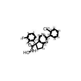 Cc1c(F)cccc1[C@]1(C(=O)NO)CCc2nc(-c3ccccc3Cl)ncc21